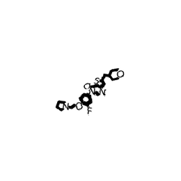 O=c1c2sc(CC3CCOCC3)cc2ncn1-c1ccc(OCCN2CCCC2)c(F)c1